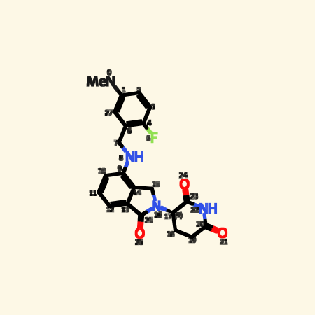 CNc1ccc(F)c(CNc2cccc3c2CN([C@@H]2CCC(=O)NC2=O)C3=O)c1